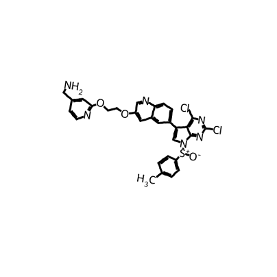 Cc1ccc([S+]([O-])n2cc(-c3ccc4ncc(OCCOc5cc(CN)ccn5)cc4c3)c3c(Cl)nc(Cl)nc32)cc1